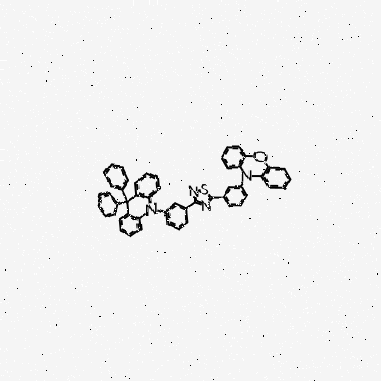 c1ccc(C2(c3ccccc3)c3ccccc3N(c3cccc(-c4nsc(-c5cccc(N6c7ccccc7Oc7ccccc76)c5)n4)c3)c3ccccc32)cc1